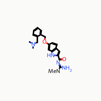 CNC(N)=NC(=O)c1cc2ccc(OCc3ccccc3CN(C)C)cc2[nH]1